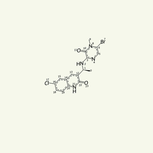 C[C@H](Nc1ncc(Br)n(C)c1=O)c1cc2cc(Cl)ccc2[nH]c1=O